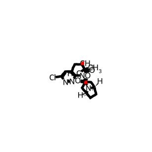 CC(C)(C)OC(=O)N1[C@@H]2CC[C@H]1CC(N1C(=O)CCc3cc(Cl)nnc31)C2